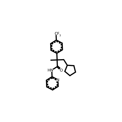 CC(CC1CCCC1)(C(=O)Nc1ccccn1)c1ccc(C(F)(F)F)cc1